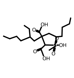 CCCCC(CC)CC(CC(CC)CCCC)(C(=O)O)C(C(=O)O)S(=O)(=O)O